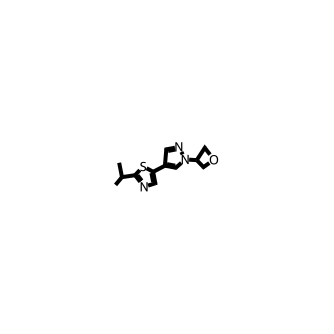 CC(C)c1ncc(-c2cnn(C3COC3)c2)s1